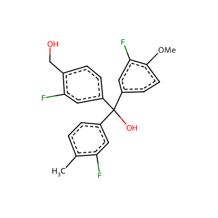 COc1ccc(C(O)(c2ccc(C)c(F)c2)c2ccc(CO)c(F)c2)cc1F